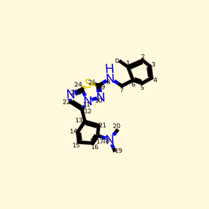 Cc1ccccc1CNc1nn2c(-c3cccc(N(C)C)c3)cnc2s1